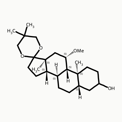 CO[C@H]1C[C@@]2(C)[C@@H](CCC23OCC(C)(C)CO3)[C@@H]2CC[C@H]3CC(O)CC[C@]3(C)[C@H]21